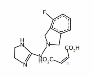 Fc1cccc2c1CN(NC1=NCCN1)C2.O=C(O)/C=C\C(=O)O